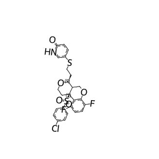 O=c1ccc(SCC[C@@H]2OCC[C@@]3(S(=O)(=O)c4ccc(Cl)cc4)c4c(F)ccc(F)c4OCC23)c[nH]1